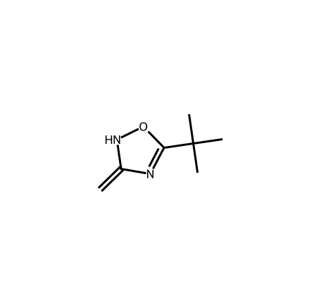 C=C1N=C(C(C)(C)C)ON1